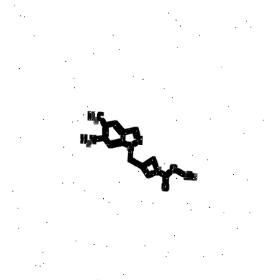 Cc1cc2cnn(CC3CN(C(=O)OC(C)(C)C)C3)c2cc1N